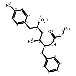 CC(C)(C)OC(=O)N[C@@H](Cc1ccccc1)[C@@H](O)C[C@@H](Cc1ccc(C#N)cc1)C(=O)O